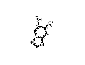 FC(F)(F)c1cc2ncnn2cc1S